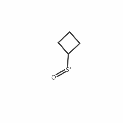 O=[S+]C1CCC1